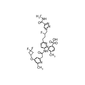 CNC(=O)c1cn(CC(F)CCc2ccc(NC(=O)Cc3cc(OC4CC(F)(F)C4)cc(C)n3)nn2)nn1.Cc1ccc(S(=O)(=O)O)cc1